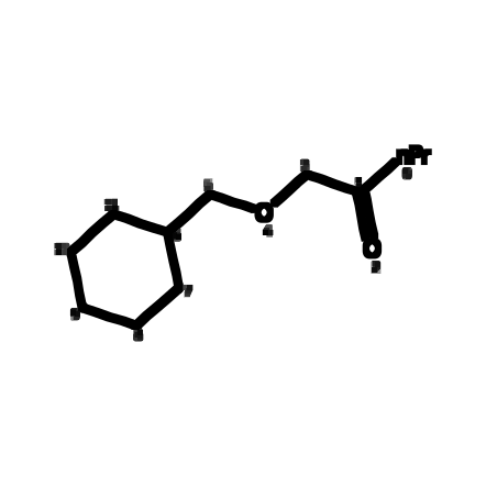 CCCC(=O)COCC1CCCCC1